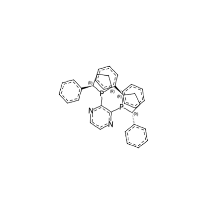 c1ccc([C@H]2CC[C@H](c3ccccc3)P2c2nccnc2P2[C@@H](c3ccccc3)CC[C@@H]2c2ccccc2)cc1